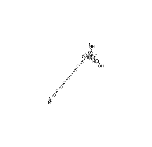 C=CNCCCC[C@H](NC(=O)[C@@H](NC(=O)CCOCCOCCOCCOCCOCCOCCOCCOCCOCCN=[N+]=[N-])C(C)C)C(=O)Nc1ccc(CO)cc1